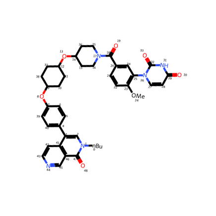 CCCCn1cc(-c2ccc(OC3CCC(OC4CCN(C(=O)c5ccc(OC)c(-n6ccc(=O)[nH]c6=O)c5)CC4)CC3)cc2)c2ccncc2c1=O